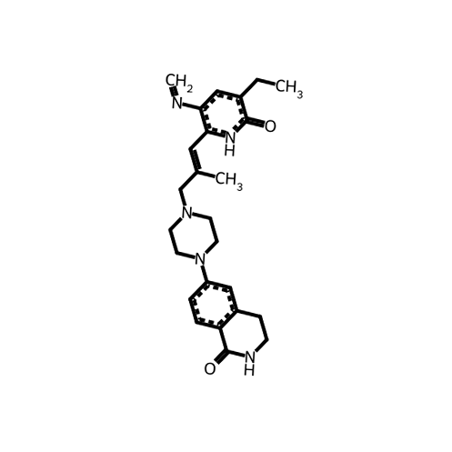 C=Nc1cc(CC)c(=O)[nH]c1/C=C(\C)CN1CCN(c2ccc3c(c2)CCNC3=O)CC1